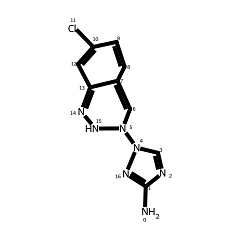 Nc1ncn(N2C=c3ccc(Cl)cc3=NN2)n1